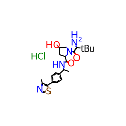 Cc1ncsc1-c1ccc(C(C)NC(=O)C2CC(O)CN2C(=O)C(N)C(C)(C)C)cc1.Cl